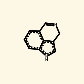 C1=NCc2c[nH]c3cccc1c23